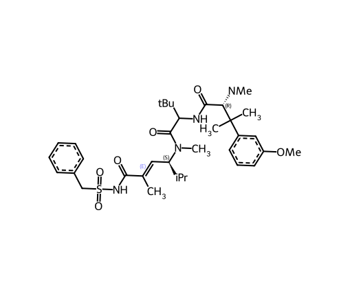 CN[C@@H](C(=O)NC(C(=O)N(C)[C@H](/C=C(\C)C(=O)NS(=O)(=O)Cc1ccccc1)C(C)C)C(C)(C)C)C(C)(C)c1cccc(OC)c1